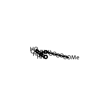 COCCOCCOCCOCCOCCOCC[N+]1(C)CCC(Nc2nc(Nc3ccc(O)c(Cl)c3)nc(NC3CCCCCC3)n2)CC1